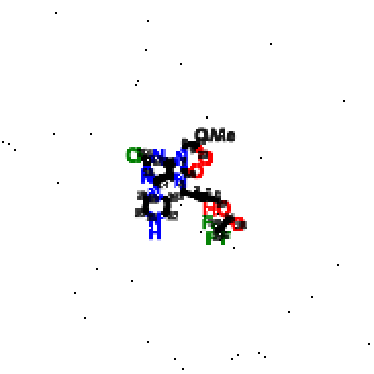 CC#CCn1c(=O)n(CC(=O)OC)c2nc(Cl)nc(N3CCNCC3)c21.O=C(O)C(F)(F)F